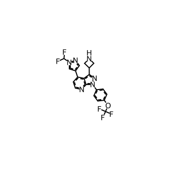 FC(F)n1cc(-c2ccnc3c2c(C2CNC2)nn3-c2ccc(OC(F)(F)F)cc2)cn1